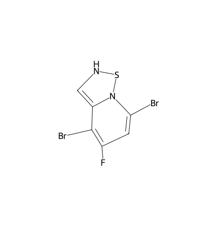 FC1=C(Br)C2=CNSN2C(Br)=C1